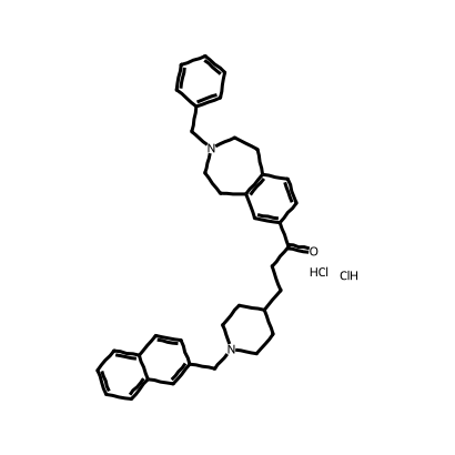 Cl.Cl.O=C(CCC1CCN(Cc2ccc3ccccc3c2)CC1)c1ccc2c(c1)CCN(Cc1ccccc1)CC2